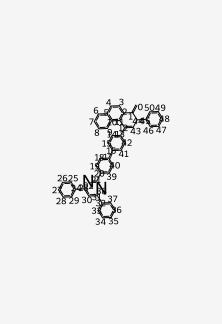 C=C1c2ccc3ccccc3c2C(c2ccc(-c3ccc(-c4nc(-c5ccccc5)cc(-c5ccccc5)n4)cc3)cc2)=CC1c1ccccc1